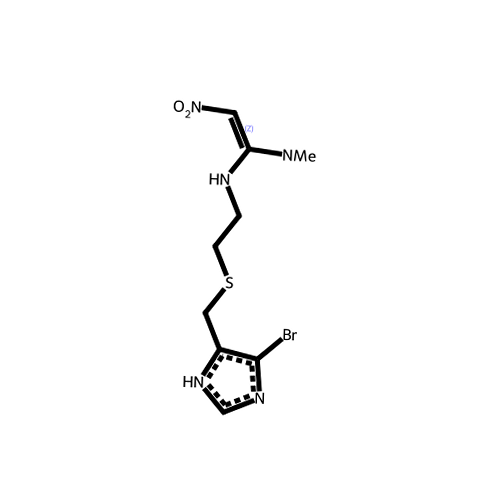 CN/C(=C/[N+](=O)[O-])NCCSCc1[nH]cnc1Br